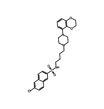 O=S(=O)(NCCCCN1CCN(c2cccc3c2OCCO3)CC1)c1ccc2cc(Cl)ccc2c1